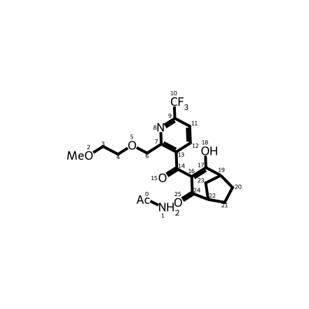 CC(N)=O.COCCOCc1nc(C(F)(F)F)ccc1C(=O)C1=C(O)C2CCC(C2)C1=O